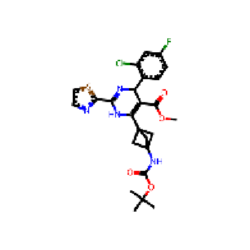 COC(=O)C1=C(C23CC(NC(=O)OC(C)(C)C)(C2)C3)NC(c2nccs2)=NC1c1ccc(F)cc1Cl